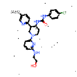 COc1ccc(C2CN(c3cccc(NCCO)n3)CCC2NC(=O)Nc2ccc(Cl)cc2)nc1